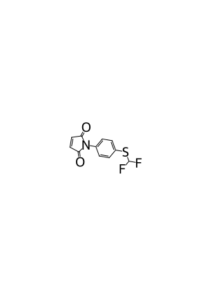 O=C1C=CC(=O)N1c1ccc(SC(F)F)cc1